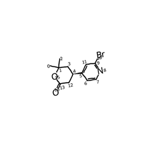 CC1(C)C[C@@H](c2ccnc(Br)c2)CC(=O)O1